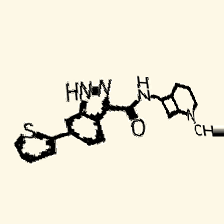 CN1CCCC2C(NC(=O)c3n[nH]c4cc(-c5cccs5)ccc34)CC21